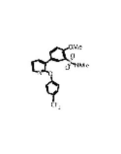 CNS(=O)(=O)c1cc(-c2cccnc2Oc2ccc(C(F)(F)F)cc2)ccc1OC